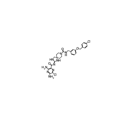 Nc1nc(N)c(C(=O)/N=C2\NCC3(CCN(C(=O)NCc4cccc(OCc5ccc(Cl)cc5)c4)CC3)N2)nc1Cl